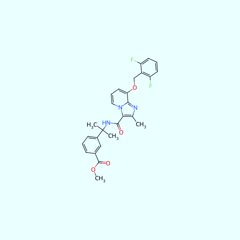 COC(=O)c1cccc(C(C)(C)NC(=O)c2c(C)nc3c(OCc4c(F)cccc4F)cccn23)c1